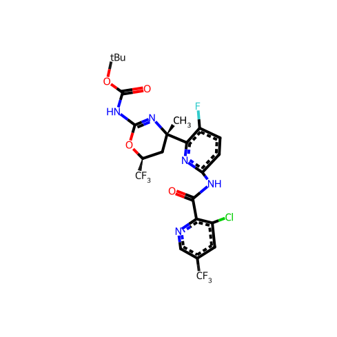 CC(C)(C)OC(=O)NC1=N[C@](C)(c2nc(NC(=O)c3ncc(C(F)(F)F)cc3Cl)ccc2F)C[C@@H](C(F)(F)F)O1